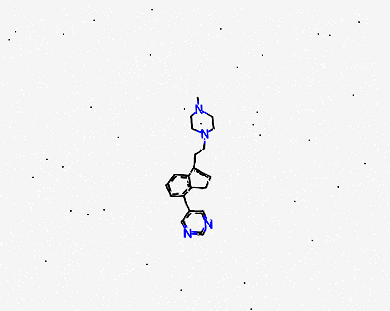 CN1CCN(CCC2=CCc3c2cccc3-c2cncnc2)CC1